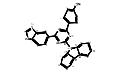 CC(C)(C)c1ccc(-c2nc(-c3ccc4scnc4c3)nc(-n3c4ccccc4c4ccccc43)n2)cc1